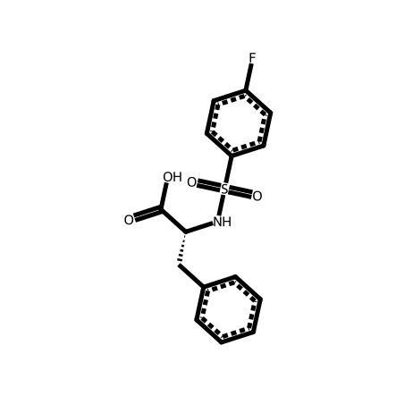 O=C(O)[C@@H](Cc1ccccc1)NS(=O)(=O)c1ccc(F)cc1